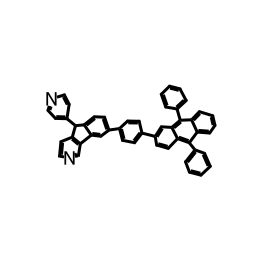 c1ccc(-c2c3ccccc3c(-c3ccccc3)c3cc(-c4ccc(-c5ccc6c(c5)-c5cnccc5C6c5ccncc5)cc4)ccc23)cc1